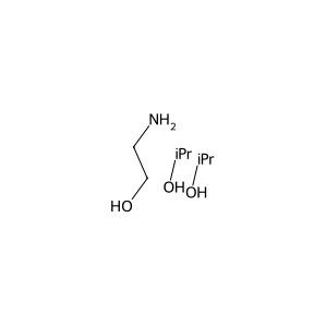 CC(C)O.CC(C)O.NCCO